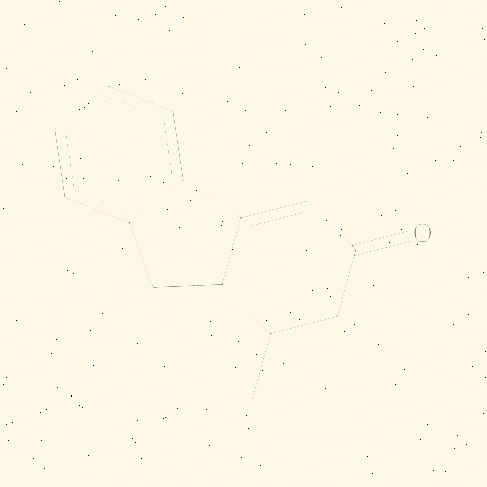 CC1CC(=O)C=C2c3ccccc3CC21